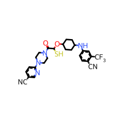 N#Cc1ccc(N2CCN(C(=O)C(S)OC3CCC(Nc4ccc(C#N)c(C(F)(F)F)c4)CC3)CC2)nc1